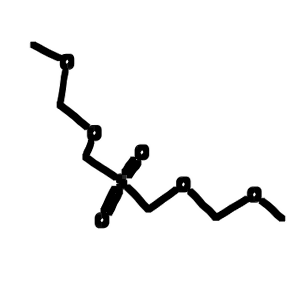 COCOCS(=O)(=O)COCOC